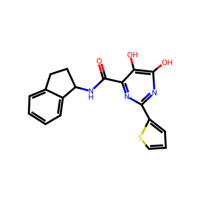 O=C(NC1CCc2ccccc21)c1nc(-c2cccs2)nc(O)c1O